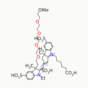 CCN1/C(=C/C=C/C2=[N+](CCCCCC(=O)O)c3ccc(S(=O)(=O)O)cc3C2(C)CCCS(=O)(=O)O)C(C)(CCOCCOCCOCCOCCOC)c2cc(S(=O)(=O)O)ccc21